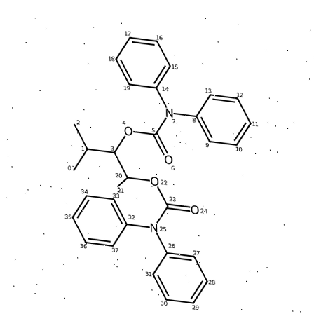 CC(C)C(OC(=O)N(c1ccccc1)c1ccccc1)C(C)OC(=O)N(c1ccccc1)c1ccccc1